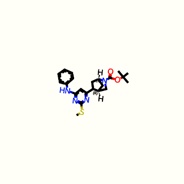 CSc1nc(Nc2ccccc2)cc(C2C[C@@H]3C[C@H]2CN3C(=O)OC(C)(C)C)n1